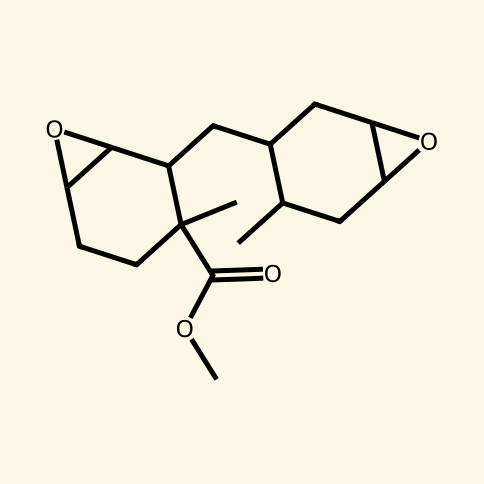 COC(=O)C1(C)CCC2OC2C1CC1CC2OC2CC1C